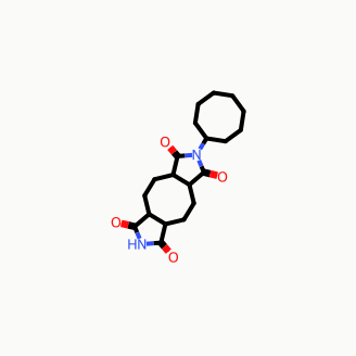 O=C1NC(=O)C2CCC3C(=O)N(C4CCCCCCC4)C(=O)C3CCC12